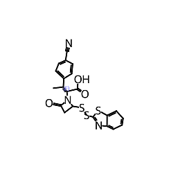 C/C(=C(/C(=O)O)N1C(=O)CC1SSc1nc2ccccc2s1)c1ccc(C#N)cc1